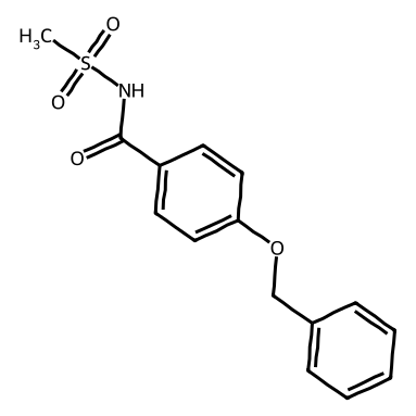 CS(=O)(=O)NC(=O)c1ccc(OCc2ccccc2)cc1